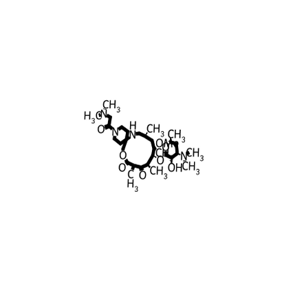 CO[C@]1(C)C[C@@H](C)CNC2(CCN(C(=O)CN(C)C)CC2)COC(=O)C(C)C(=O)[C@H](C)[C@H]1O[C@@H]1O[C@H](C)C[C@H](N(C)C)[C@H]1O